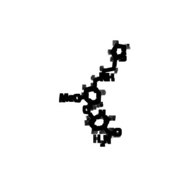 COc1cc(CNCCc2cccs2)ccc1Oc1ccc(C(N)=O)cn1